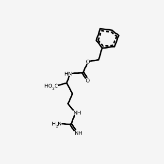 N=C(N)NCCC(NC(=O)OCc1ccccc1)C(=O)O